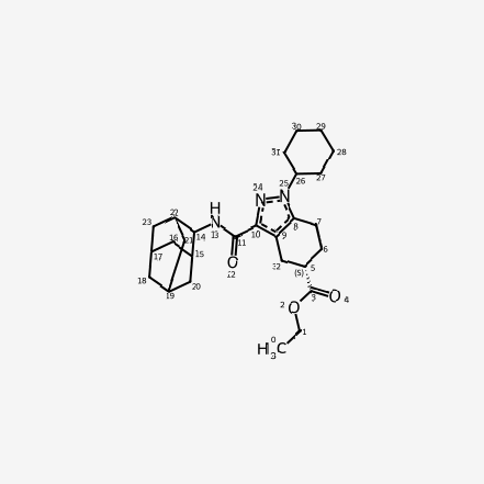 CCOC(=O)[C@H]1CCc2c(c(C(=O)NC3C4CC5CC(C4)CC3C5)nn2C2CCCCC2)C1